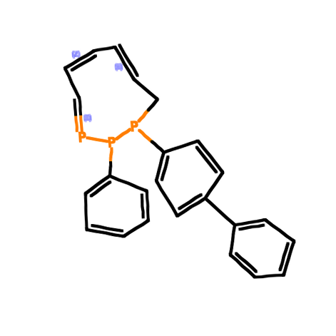 C1=C\C=P\P(c2ccccc2)P(c2ccc(-c3ccccc3)cc2)C/C=C/1